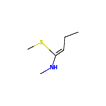 CC/C=C(/NC)SC